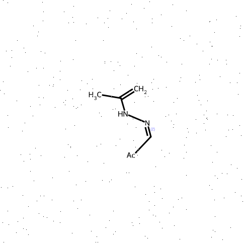 C=C(C)N/N=C\C(C)=O